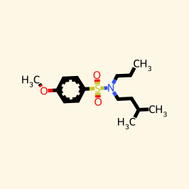 CCCN(CCC(C)C)S(=O)(=O)c1ccc(OC)cc1